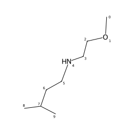 COCCNCCC(C)C